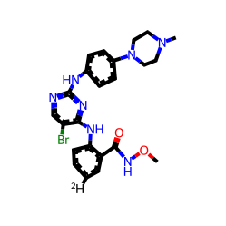 [2H]c1ccc(Nc2nc(Nc3ccc(N4CCN(C)CC4)cc3)ncc2Br)c(C(=O)NOC)c1